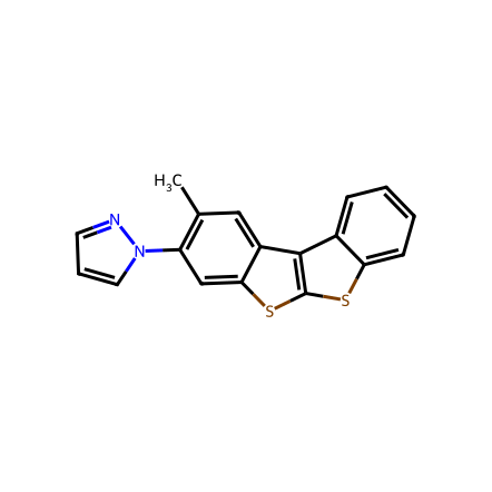 Cc1cc2c(cc1-n1cccn1)sc1sc3ccccc3c12